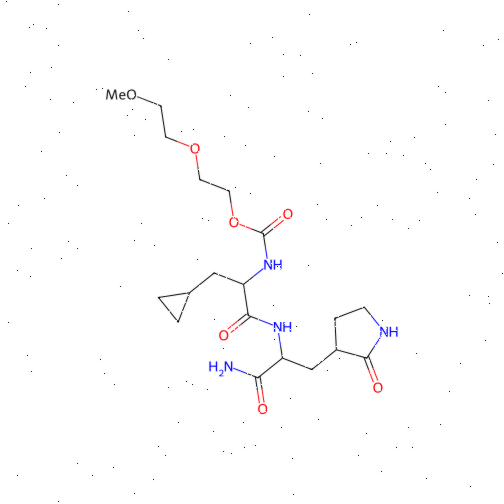 COCCOCCOC(=O)NC(CC1CC1)C(=O)NC(CC1CCNC1=O)C(N)=O